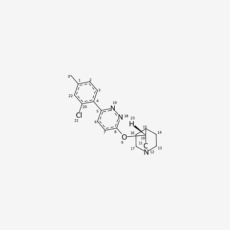 Cc1ccc(-c2ccc(O[C@H]3CN4CCC3CC4)nn2)c(Cl)c1